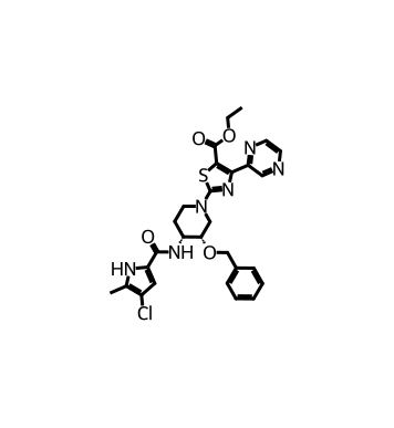 CCOC(=O)c1sc(N2CC[C@@H](NC(=O)c3cc(Cl)c(C)[nH]3)[C@@H](OCc3ccccc3)C2)nc1-c1cnccn1